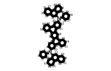 c1ccc(N(c2ccc3c(c2)c2ccccc2c2cc4c5ccc(N(c6ccccc6)c6cc7ccccc7c7ccccc67)cc5c5ccccc5c4cc32)c2cc3ccccc3c3ccccc23)cc1